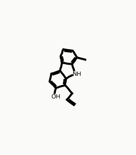 C=CCc1c(O)ccc2c1[nH]c1c(C)cccc12